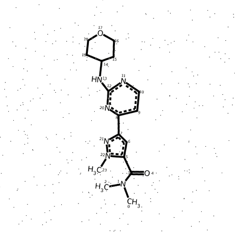 CN(C)C(=O)c1cc(-c2ccnc(NC3CCOCC3)n2)nn1C